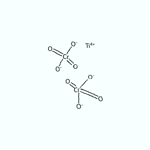 [O]=[Cr](=[O])([O-])[O-].[O]=[Cr](=[O])([O-])[O-].[Ti+4]